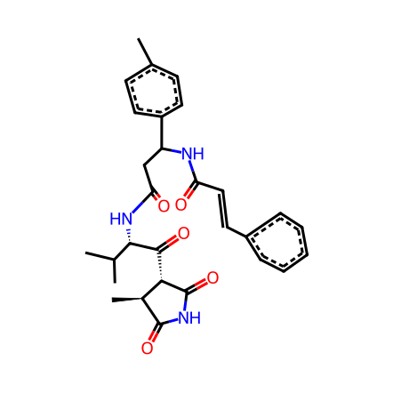 Cc1ccc(C(CC(=O)N[C@H](C(=O)[C@@H]2C(=O)NC(=O)[C@H]2C)C(C)C)NC(=O)/C=C/c2ccccc2)cc1